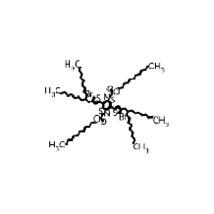 CCCCCCCCCCCCOC(=O)c1nc2c(-c3cc(CC(CCCCCCCC)CCCCCCCCCC)c(Br)s3)c3sc(C(=O)OCCCCCCCCCCCC)nc3c(-c3cc(CC(CCCCCCCC)CCCCCCCCCC)c(Br)s3)c2s1